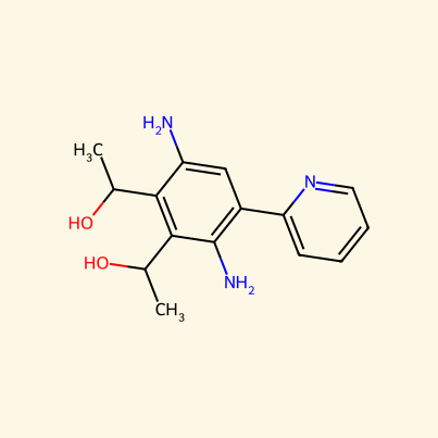 CC(O)c1c(N)cc(-c2ccccn2)c(N)c1C(C)O